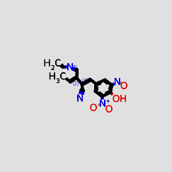 C=C\N=C/C(=C\C)C(/C#N)=C/c1cc(N=O)c(O)c([N+](=O)[O-])c1